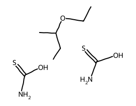 CCOC(C)CC.NC(O)=S.NC(O)=S